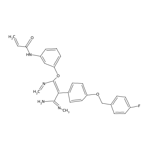 C=CC(=O)Nc1cccc(O/C(N=C)=C(/C(N)=N\C)c2ccc(OCc3ccc(F)cc3)cc2)c1